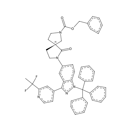 CC(F)(F)c1cc(-c2nn(C(c3ccccc3)(c3ccccc3)c3ccccc3)c3ccc(N4CC[C@]5(CCN(C(=O)OCc6ccccc6)C5)C4=O)cc23)ccn1